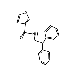 O=C(NCC(c1ccccc1)c1ccccc1)c1ccsc1